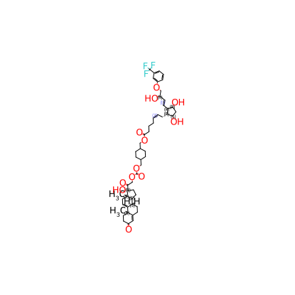 C[C@]12CCC(=O)C=C1CC[C@@H]1C2=CC[C@@]2(C)[C@H]1CC[C@]2(O)C(=O)COC(=O)OCC1CCC(COC(=O)CCC/C=C\C[C@@H]2[C@@H](/C=C/[C@@H](O)COc3cccc(C(F)(F)F)c3)[C@H](O)C[C@@H]2O)CC1